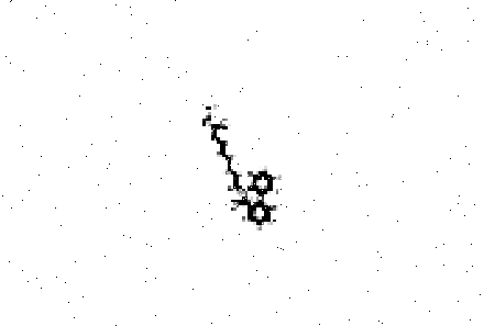 COC(=O)CCCCCCCN(C(=O)c1ccccc1)c1ccccc1